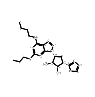 CCCCNc1nc(SCCC)nc2c1nnn2[C@@H]1C[C@H](c2nnc[nH]2)[C@@H](O)[C@H]1O